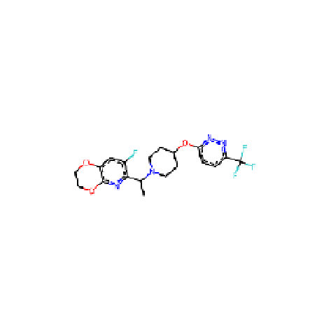 CC(c1nc2c(cc1F)OCCO2)N1CCC(Oc2ccc(C(F)(F)F)nn2)CC1